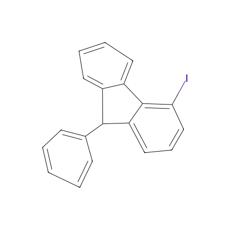 Ic1cccc2c1-c1ccccc1C2c1ccccc1